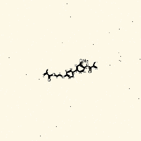 C=C(C)C(=O)OCCOc1ccc(-c2ccc(OC(=O)C(=C)C)c(OC)c2)cc1